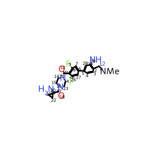 CNCc1ccc(-c2cc(F)c(C(=O)N3CCN(C(=O)C4(N)CC4)CC3)c(F)c2)cc1N